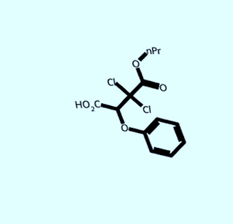 CCCOC(=O)C(Cl)(Cl)C(Oc1ccccc1)C(=O)O